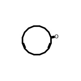 O=C1C=CCCCCC=CCCCCCCC1